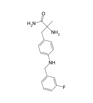 CC(N)(Cc1ccc(NCc2cccc(F)c2)cc1)C(N)=O